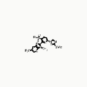 CCS(=O)(=O)c1ccc(-n2cnc(SC)n2)nc1-c1nc2cc(C(F)(F)F)cnc2n1C